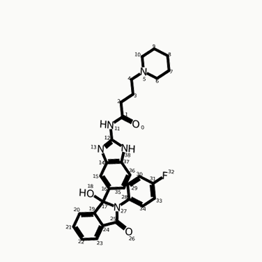 O=C(CCCN1CCCCC1)Nc1nc2cc(C3(O)c4ccccc4C(=O)N3c3ccc(F)cc3)ccc2[nH]1